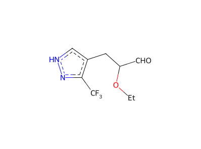 CCOC(C=O)Cc1c[nH]nc1C(F)(F)F